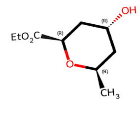 CCOC(=O)[C@H]1C[C@H](O)C[C@@H](C)O1